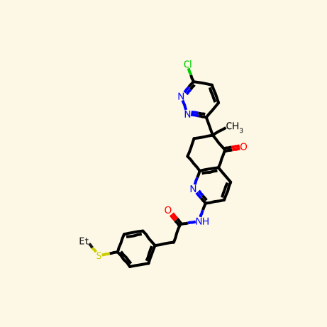 CCSc1ccc(CC(=O)Nc2ccc3c(n2)CCC(C)(c2ccc(Cl)nn2)C3=O)cc1